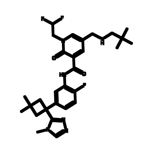 Cn1cnnc1C1(c2ccc(F)c(NC(=O)c3cc(CNCC(C)(C)C)cn(CC(F)F)c3=O)c2)CC(C)(C)C1